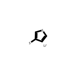 [Li+].[S-]c1ccsc1